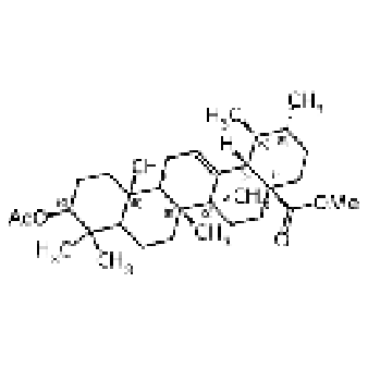 COC(=O)[C@]12CC[C@@H](C)[C@H](C)[C@H]1C1=CCC3[C@@]4(C)CC[C@H](OC(C)=O)C(C)(C)C4CC[C@@]3(C)[C@]1(C)CC2